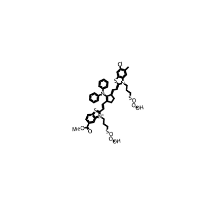 COC(=O)c1ccc2sc(/C=C/C3=C(N(c4ccccc4)c4ccccc4)C(=C/C=C4\Sc5cc(Cl)c(C)cc5N4CCCSOOO)/CC3)[n+](CCCSOOO)c2c1